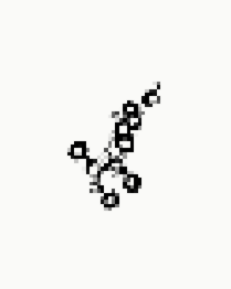 C[C@H](OC(=O)c1ccccc1)C(OC(=O)c1ccccc1)[C@H](OC(=O)c1ccccc1)[C@H](O)O[C@H]1CC[C@]2(C)C3CC[C@]4(C)[C@@H](C5=CC(=O)OC5)CC[C@]4(O)C3CC[C@@H]2C1